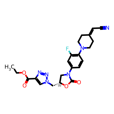 CCOC(=O)c1cn(C[C@@H]2CN(c3ccc(N4CCC(=CC#N)CC4)c(F)c3)C(=O)O2)nn1